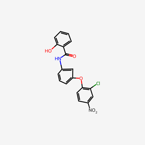 O=C(Nc1cccc(Oc2ccc([N+](=O)[O-])cc2Cl)c1)c1ccccc1O